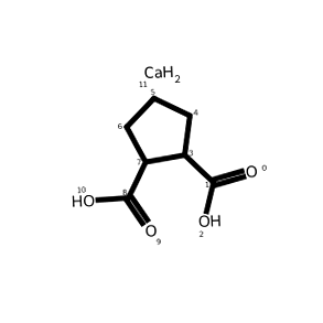 O=C(O)C1CCCC1C(=O)O.[CaH2]